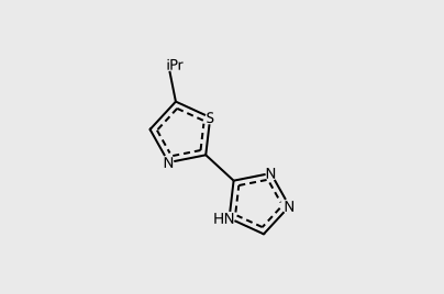 CC(C)c1cnc(-c2nnc[nH]2)s1